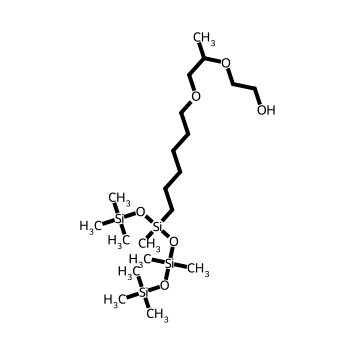 CC(COCCCCCC[Si](C)(O[Si](C)(C)C)O[Si](C)(C)O[Si](C)(C)C)OCCO